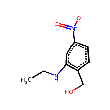 CCNc1cc([N+](=O)[O-])ccc1CO